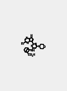 CCc1cnc2[nH]cc(-c3nc(NC4C5CCC(CC5)C4C(=O)O)cc(N4CCOCC4)n3)c2n1